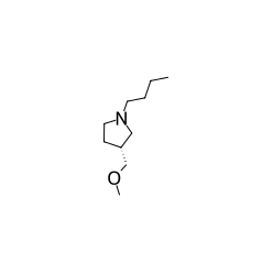 CCCCN1CC[C@@H](COC)C1